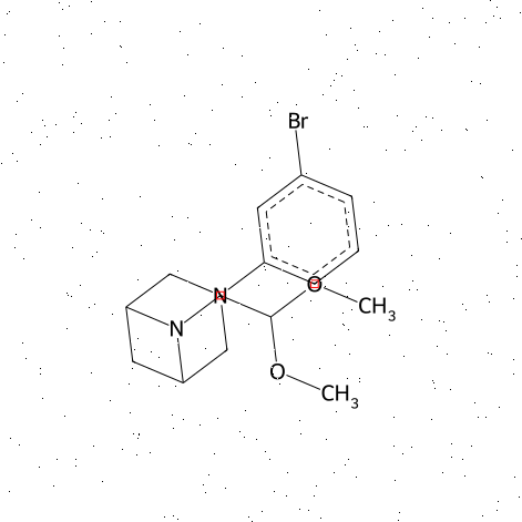 COC(CN1C2CC1CN(c1cccc(Br)c1)C2)OC